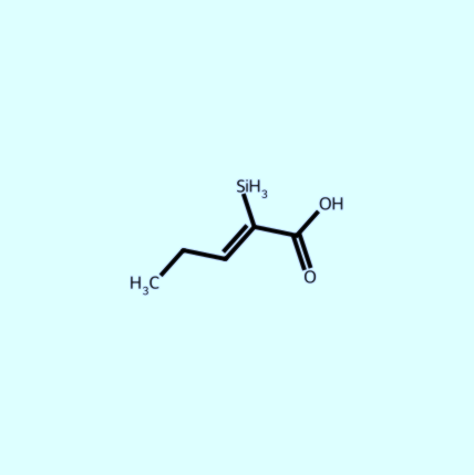 CCC=C([SiH3])C(=O)O